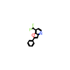 FC(F)c1ccnc2cc(-c3ccccc3)oc12